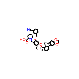 Cc1cc(CN2CCCCC2C(=O)O)c(OCc2cccc(C#N)c2)cc1OCc1cccc(-c2ccc3c(c2)OCCO3)c1C